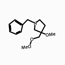 COOCC1(OC)CCN(Cc2ccccc2)C1